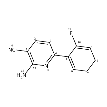 N#Cc1ccc(C2=CCCC=C2F)nc1N